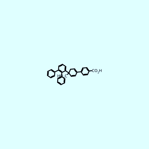 O=C(O)c1ccc(C2=CCC(C(=O)O)(c3cccc(-c4ccccc4)c3-c3ccccc3)C=C2)cc1